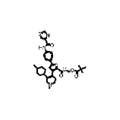 CC1CCC(C2=C(c3cc(-c4ccc(NC(=O)c5cscn5)cc4)sc3C(=O)OCOC(=O)C(C)(C)C)CCN(C)C2)CC1